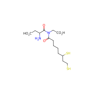 NC(CC(=O)O)C(=O)N(CC(=O)O)C(=O)CCCCC(S)CCS